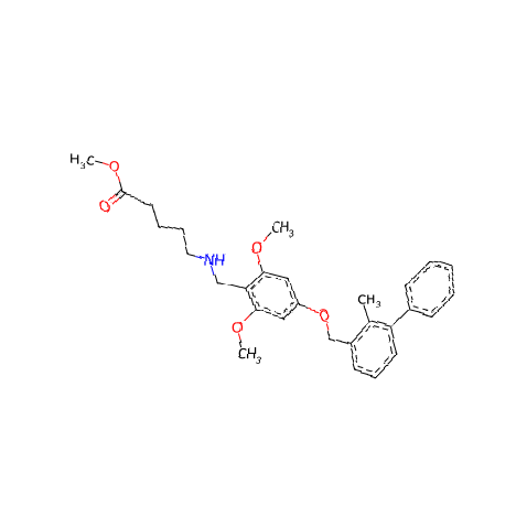 COC(=O)CCCCNCc1c(OC)cc(OCc2cccc(-c3ccccc3)c2C)cc1OC